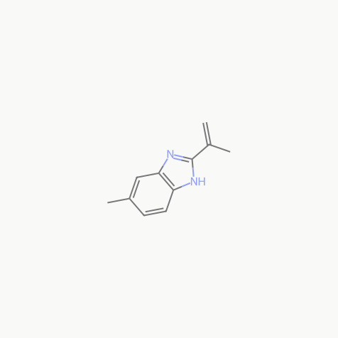 C=C(C)c1nc2cc(C)ccc2[nH]1